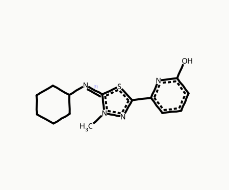 Cn1nc(-c2cccc(O)n2)s/c1=N/C1CCCCC1